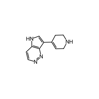 C1=C(c2c[nH]c3ccnnc23)CCNC1